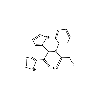 C=C(c1ccc[nH]1)C(c1ccc[nH]1)N(C(=O)CCl)c1ccccc1